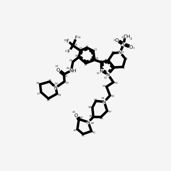 CS(=O)(=O)N1CCc2c(c(-c3ccc(C(F)(F)F)c(CNC(=O)CN4CCCCC4)c3)nn2CCCN2CCC(N3CCCC3=O)CC2)C1